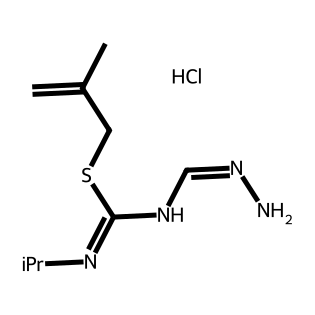 C=C(C)CS/C(=N\C(C)C)N/C=N\N.Cl